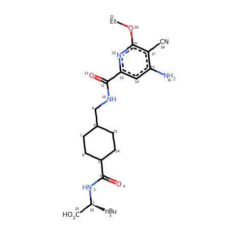 CCCC[C@H](NC(=O)C1CCC(CNC(=O)c2cc(N)c(C#N)c(OCC)n2)CC1)C(=O)O